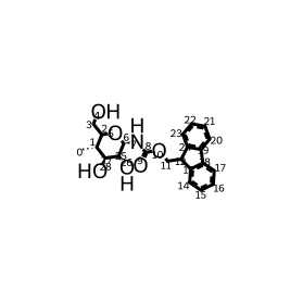 C[C@@H]1C(CO)O[C@H](NC(=O)OCC2c3ccccc3-c3ccccc32)C(O)[C@H]1O